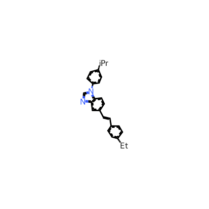 CCc1ccc(/C=C/c2ccc3c(c2)ncn3-c2ccc(C(C)C)cc2)cc1